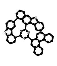 c1ccc(-c2ccc3oc4cccc(-c5nc(-c6cc7ccccc7c7c6ccc6ccccc67)nc(-c6cccc7oc8ccccc8c67)n5)c4c3c2)cc1